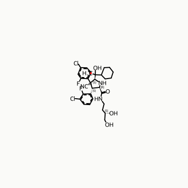 CC(O)(C1CCCCC1)[C@H]1N[C@@H](C(=O)NCC[C@H](O)CO)[C@H](c2cccc(Cl)c2F)[C@@]1(C#N)c1ccc(Cl)cc1F